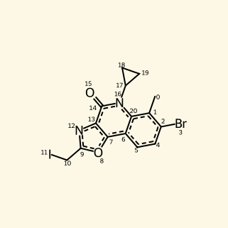 Cc1c(Br)ccc2c3oc(CI)nc3c(=O)n(C3CC3)c12